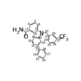 NC(=O)c1cccc2c1c1[c]cc(-c3ccccc3)cc1n2Cc1cccc(C(F)(F)F)c1